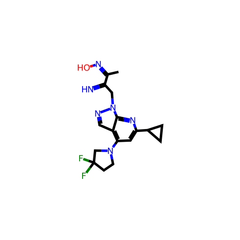 C/C(=N/O)C(=N)Cn1ncc2c(N3CCC(F)(F)C3)cc(C3CC3)nc21